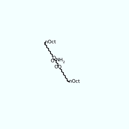 CCCCCCCC/C=C\CCCCCCCCOC(=O)CCC(N)C(=O)OCCCCCCCC/C=C\CCCCCCCC